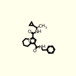 C[C@@H](NC(=O)c1cc(C(=O)NCc2ccccc2)c2n1CCCC2)C1CC1